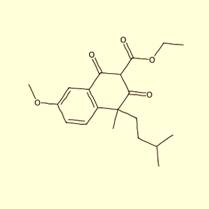 CCOC(=O)C1C(=O)c2cc(OC)ccc2C(C)(CCC(C)C)C1=O